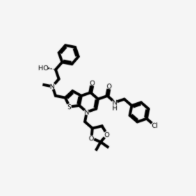 CN(Cc1cc2c(=O)c(C(=O)NCc3ccc(Cl)cc3)cn(CC3COC(C)(C)O3)c2s1)C[C@H](O)c1ccccc1